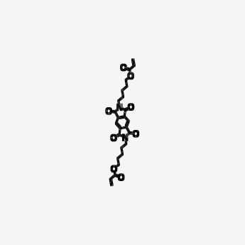 C=CC(=O)OCCCCCn1c(=O)c2cc3c(=O)n(CCCCCOC(=O)C=C)c(=O)c3cc2c1=O